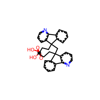 O=C(O)CCC1(CC2(CCC(=O)O)c3ccccc3-c3ncccc32)c2ccccc2-c2ncccc21